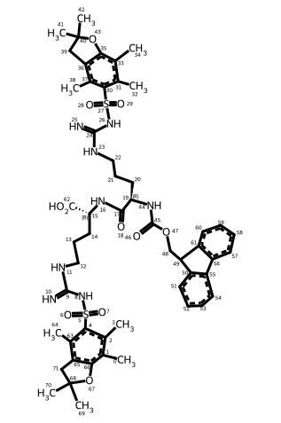 Cc1c(C)c(S(=O)(=O)NC(=N)NCCC[C@@H](NC(=O)[C@@H](CCCNC(=N)NS(=O)(=O)c2c(C)c(C)c3c(c2C)CC(C)(C)O3)NC(=O)OCC2c3ccccc3-c3ccccc32)C(=O)O)c(C)c2c1OC(C)(C)C2